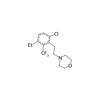 CCc1ccc(Cl)c(CCN2CCOCC2)c1C(F)(F)F